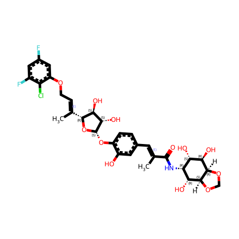 C/C(=C\c1ccc(O[C@@H]2O[C@H](/C(C)=C/COc3cc(F)cc(F)c3Cl)[C@@H](O)[C@@H]2O)c(O)c1)C(=O)N[C@@H]1[C@H](O)[C@@H](O)[C@H]2OCO[C@H]2[C@@H]1O